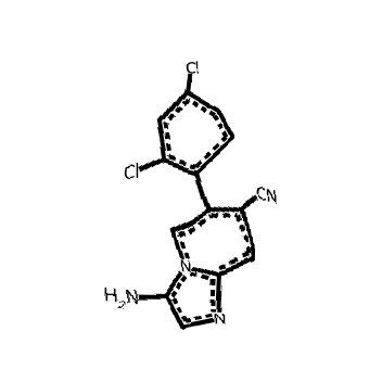 N#Cc1cc2ncc(N)n2cc1-c1ccc(Cl)cc1Cl